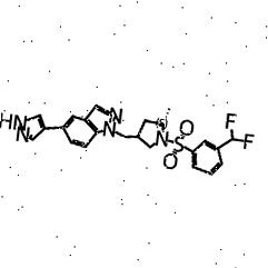 C[C@H]1CC(Cn2ncc3cc(-c4cn[nH]c4)ccc32)CN1S(=O)(=O)c1cccc(C(F)F)c1